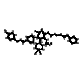 Cc1nc(COCCCOCc2ccccc2)c(CC(=O)O)c(N2CCC(C)(C)CC2)c1-c1ccc(OCCc2ccc(F)cc2)cc1